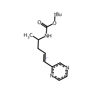 CC(C/C=C/c1cnccn1)NC(=O)OC(C)(C)C